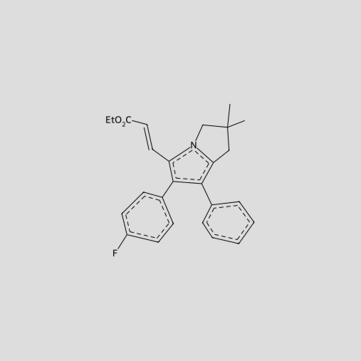 CCOC(=O)C=Cc1c(-c2ccc(F)cc2)c(-c2ccccc2)c2n1CC(C)(C)C2